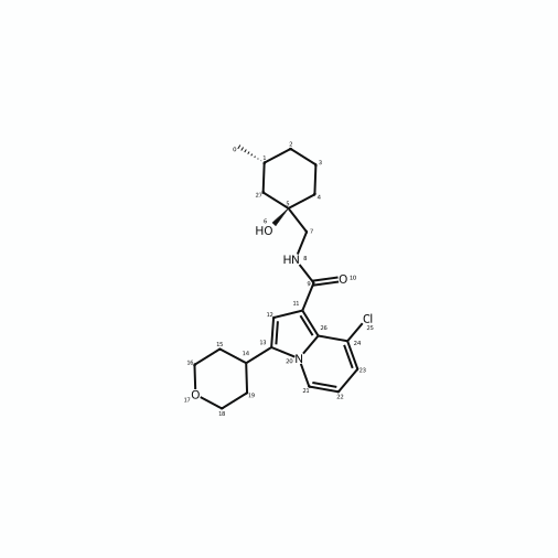 C[C@@H]1CCC[C@](O)(CNC(=O)c2cc(C3CCOCC3)n3cccc(Cl)c23)C1